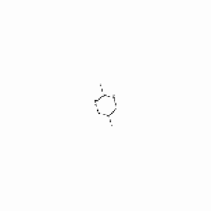 C[C]1SCC(C)CS1